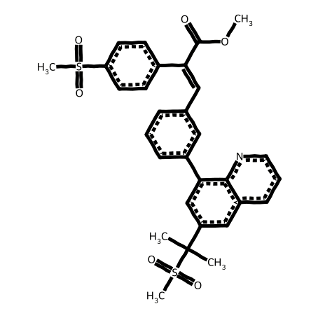 COC(=O)/C(=C/c1cccc(-c2cc(C(C)(C)S(C)(=O)=O)cc3cccnc23)c1)c1ccc(S(C)(=O)=O)cc1